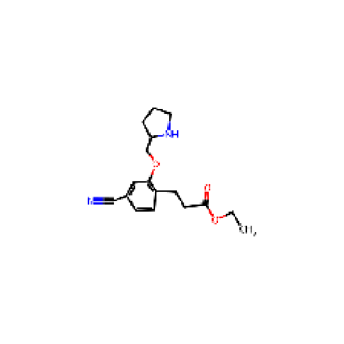 CCOC(=O)CCc1ccc(C#N)cc1OCC1CCCN1